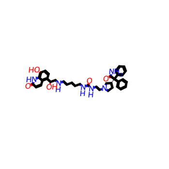 NC(=O)C(c1ccccc1)(c1ccccc1)[C@@H]1CCN(CCNC(=O)NCCCCCNC[C@@H](O)c2ccc(O)c3[nH]c(=O)ccc23)C1